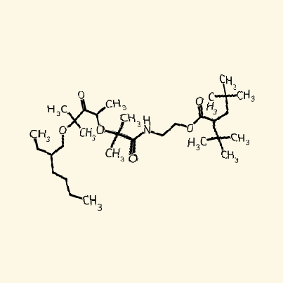 CCCCC(CC)COC(C)(C)C(=O)C(C)OC(C)(C)C(=O)NCCOC(=O)C(CC(C)(C)C)C(C)(C)C